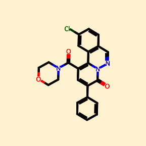 O=C(c1cc(-c2ccccc2)c(=O)n2ncc3ccc(Cl)cc3c12)N1CCOCC1